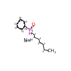 CCCCCCCC[PH](=O)c1ccccc1.[NaH]